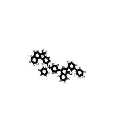 CC1(C)c2ccc(N(c3ccccc3)c3ccc(-c4cc5c6cccc(-c7ccccc7)c6oc5c5ccccc45)cc3)cc2-c2c1ccc1ccccc21